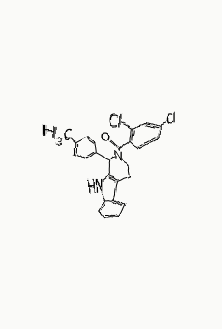 Cc1ccc(C2c3[nH]c4ccccc4c3CCN2C(=O)c2ccc(Cl)cc2Cl)cc1